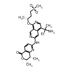 CCC(C)(N)c1cnc(O[C@H](C)CCS(C)(=O)=O)c2cnc(Nc3ccc4c(n3)[C@H](C)[C@H](C)OC4=O)cc12